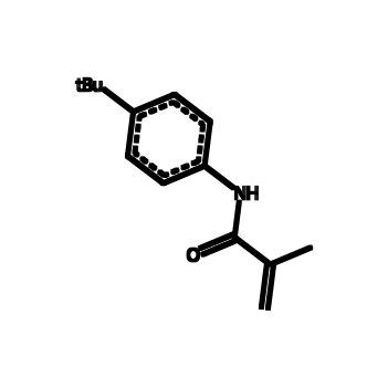 C=C(C)C(=O)Nc1ccc(C(C)(C)C)cc1